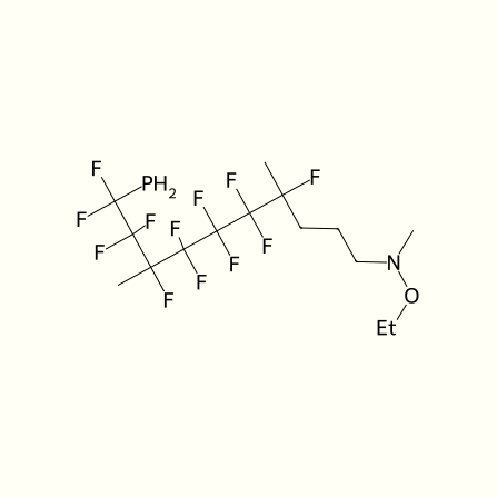 CCON(C)CCCC(C)(F)C(F)(F)C(F)(F)C(F)(F)C(C)(F)C(F)(F)C(F)(F)P